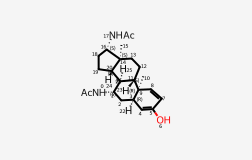 CC(=O)N[C@H]1C[C@@H]2C=C(O)C=C[C@]2(C)[C@H]2CC[C@]3(C)[C@@H](NC(C)=O)CC[C@H]3[C@H]12